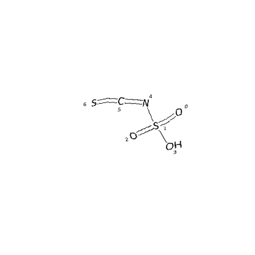 O=S(=O)(O)N=C=S